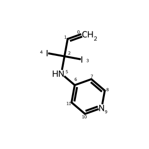 C=CC(I)(I)Nc1ccncc1